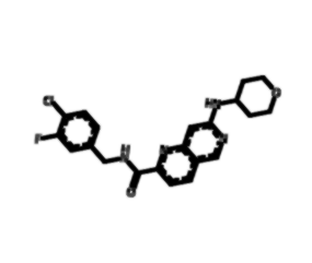 O=C(NCc1ccc(Cl)c(F)c1)c1ccc2cnc(NC3CCOCC3)cc2n1